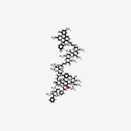 CC[C@H](C)[C@@H]([C@@H](CC(=O)N1CCC[C@H]1C[C@@H](C)C(=O)N[C@H](C)[C@@H](O)c1ccccc1)OC)N(C)C(=O)[C@@H](NC(=O)[C@H](C(C)C)N(C)C(=O)OCc1ccc(NC(=O)[C@H](CCCNC(N)=O)NC(=O)[C@@H](NC(=O)CCCC(=O)N(C)CC(=O)N(C)CC(=O)N(C)CC(=O)N(C)CC(=O)N(C)CC(=O)NCCNc2ncc(-c3cc(C)cc(F)c3)c(N3CCC(N)CC3)c2-c2nc3ccc(Cl)cc3[nH]2)C(C)C)cc1)C(C)C